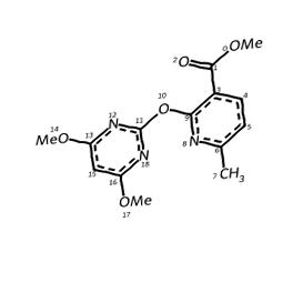 COC(=O)c1ccc(C)nc1Oc1nc(OC)cc(OC)n1